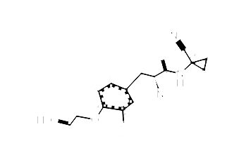 C=CCOc1ccc(C[C@H](N)C(=O)NC2(C#N)CC2)cc1Cl